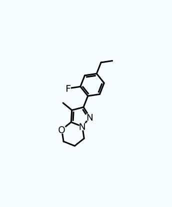 CCc1ccc(-c2nn3c(c2C)OCCC3)c(F)c1